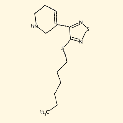 CCCCCCSc1nsnc1C1=CCCNC1